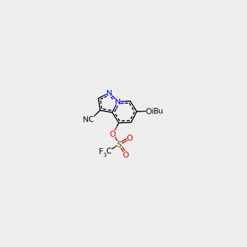 CC(C)COc1cc(OS(=O)(=O)C(F)(F)F)c2c(C#N)cnn2c1